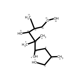 CC(CO)CC(O)C(C)(C)C(O)C(C)COO